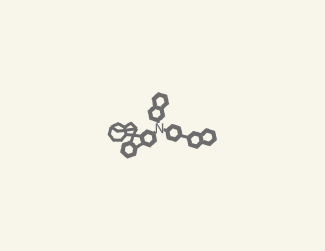 c1ccc2c(c1)-c1ccc(N(c3ccc(-c4ccc5ccccc5c4)cc3)c3ccc4ccccc4c3)cc1C21C2CC3CCCC1C(C3)C2